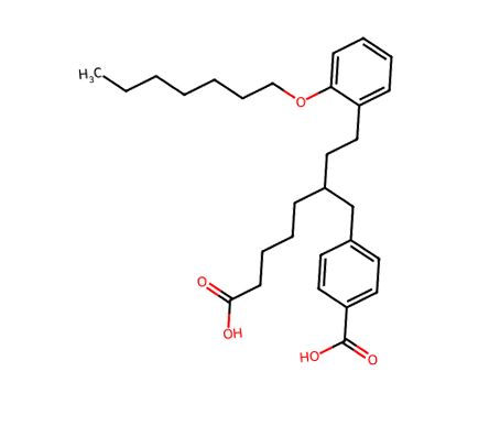 CCCCCCCOc1ccccc1CCC(CCCCC(=O)O)Cc1ccc(C(=O)O)cc1